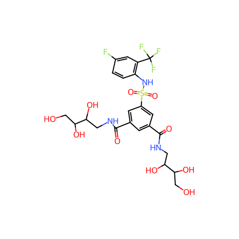 O=C(NCC(O)C(O)CO)c1cc(C(=O)NCC(O)C(O)CO)cc(S(=O)(=O)Nc2ccc(F)cc2C(F)(F)F)c1